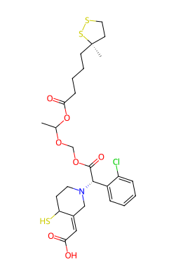 CC(OCOC(=O)[C@H](c1ccccc1Cl)N1CCC(S)/C(=C\C(=O)O)C1)OC(=O)CCCC[C@]1(C)CCSS1